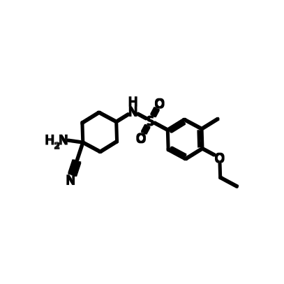 CCOc1ccc(S(=O)(=O)NC2CCC(N)(C#N)CC2)cc1C